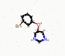 Brc1cccc(Oc2cncnc2)c1